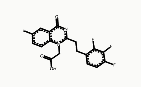 O=C(O)Cn1c(CCc2ccc(F)c(F)c2F)nc(=O)c2cc(I)ccc21